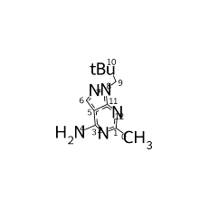 Cc1nc(N)c2cnn(CC(C)(C)C)c2n1